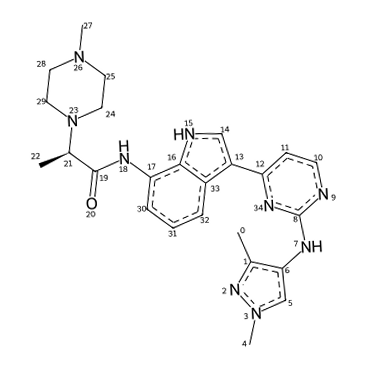 Cc1nn(C)cc1Nc1nccc(-c2c[nH]c3c(NC(=O)[C@@H](C)N4CCN(C)CC4)cccc23)n1